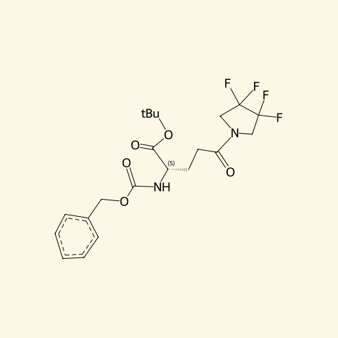 CC(C)(C)OC(=O)[C@H](CCC(=O)N1CC(F)(F)C(F)(F)C1)NC(=O)OCc1ccccc1